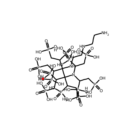 NCCNCCNC(C(CP(=O)(O)O)P(=O)(O)O)(C(CP(=O)(O)O)P(=O)(O)O)C(C(CP(=O)(O)O)P(=O)(O)O)(C(CP(=O)(O)O)P(=O)(O)O)N(C(CP(=O)(O)O)P(=O)(O)O)C(CP(=O)(O)O)P(=O)(O)O